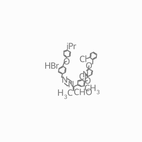 Br.C/C(C=O)=C(/c1cc(C)c(Oc2ccc(OCc3ccccc3Cl)cn2)c(Cl)c1)N1CCN(Cc2ccc(COc3ccc(C(C)C)cc3)cc2)CC1